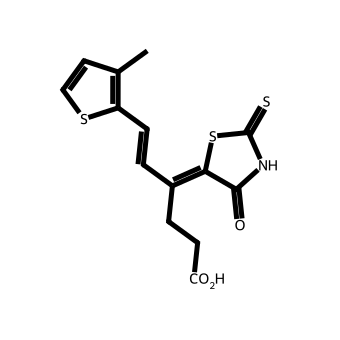 Cc1ccsc1C=CC(CCC(=O)O)=C1SC(=S)NC1=O